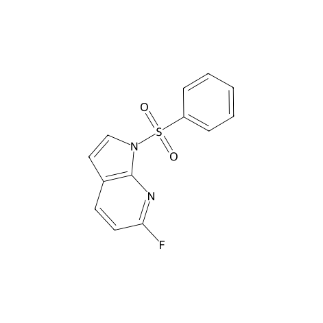 O=S(=O)(c1ccccc1)n1ccc2ccc(F)nc21